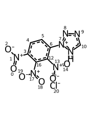 O=[N+]([O-])c1ccc(-[n+]2nnc[nH]2)c([N+](=O)[O-])c1[N+](=O)[O-].[Cl-]